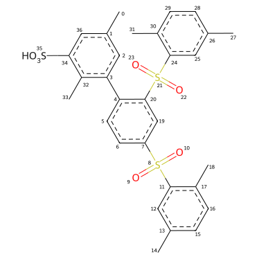 Cc1cc(-c2ccc(S(=O)(=O)c3cc(C)ccc3C)cc2S(=O)(=O)c2cc(C)ccc2C)c(C)c(S(=O)(=O)O)c1